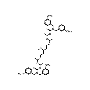 COc1cccc(CN(Cc2cccc(OC)c2)C(=O)OC(C)OC(C)OCCC(CCOC(C)OC(C)OC(=O)N(Cc2cccc(OC)c2)Cc2cccc(OC)c2)N(C)C)c1